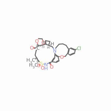 C[C@@H]1[C@@H](C)CCC[C@]2(OCCO[C@@H]2C=O)[C@@H]2CC[C@H]2CN2CCCCc3cc(Cl)ccc3COc3ccc(cc32)C(=O)NS1(=O)=O